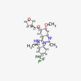 COc1cc2nc(C)nc(N[C@H](C)c3cccc(C(F)(F)F)c3)c2cc1OC[C@H]1CCOC1